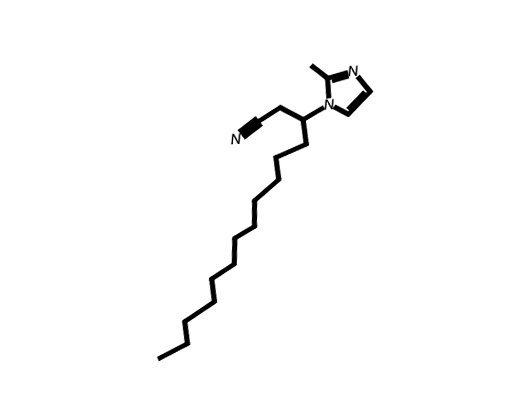 CCCCCCCCCCCCC(CC#N)n1ccnc1C